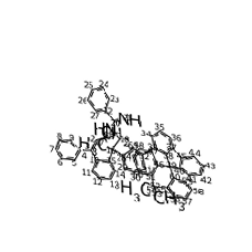 C=C/C=C(/c1ccccc1)c1ccccc1C(C)(CNC(=N)c1ccccc1)c1cccc(-c2cccc3c2C2(c4ccccc4-3)c3ccccc3C(C)(C)c3ccccc32)c1